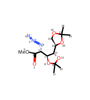 COC(=O)[C@H](N=[N+]=[N-])[C@@H]1OC(C)(C)O[C@H]1[C@H]1COC(C)(C)O1